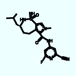 CC(C)C[C@H]1CCc2c(cn(C)c2C(=O)Nc2cc(F)nc(C#N)c2)S(=N)(=O)N1